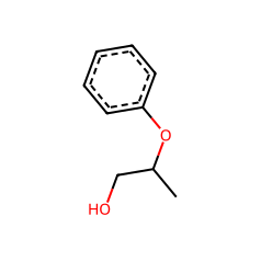 CC(CO)Oc1ccccc1